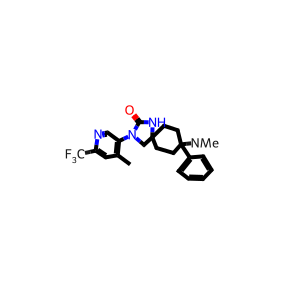 CNC1(c2ccccc2)CCC2(CC1)CN(c1cnc(C(F)(F)F)cc1C)C(=O)N2